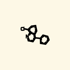 Clc1cccc2c(-c3ccccc3)ccnc12